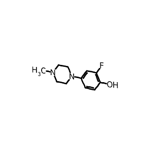 CN1CCN(c2ccc(O)c(F)c2)CC1